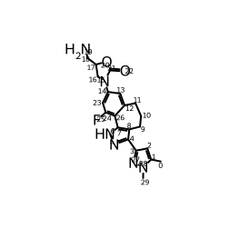 Cc1cc(-c2n[nH]c3c2CCCc2cc(N4CC(CN)OC4=O)cc(F)c2-3)nn1C